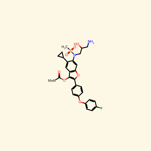 CNC(=O)Oc1c(-c2ccc(Oc3ccc(F)cc3)cc2)oc2cc(N(CC(O)CN)S(C)(=O)=O)c(C3CC3)cc12